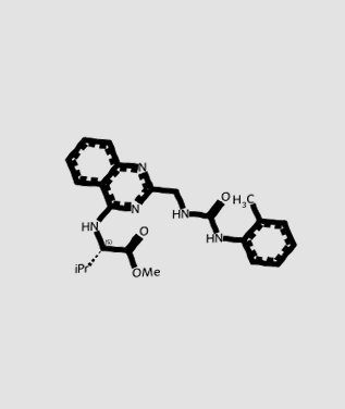 COC(=O)[C@@H](Nc1nc(CNC(=O)Nc2ccccc2C)nc2ccccc12)C(C)C